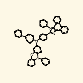 c1ccc(-c2ccc(N(c3ccc(-c4nc5c6ccccc6c6ccccc6c5n4-c4ccccc4)cc3)c3ccc4c(c3)Oc3ccccc3N4c3ccccc3)cc2)cc1